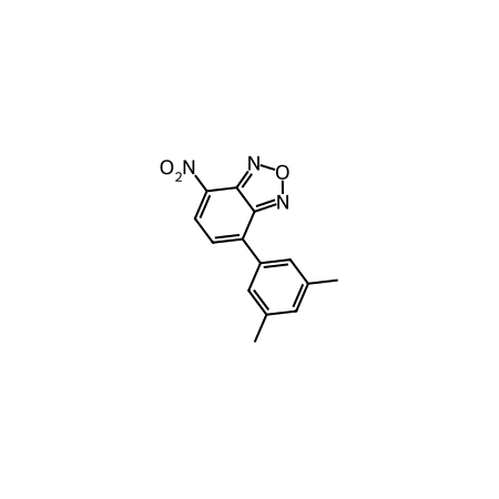 Cc1cc(C)cc(-c2ccc([N+](=O)[O-])c3nonc23)c1